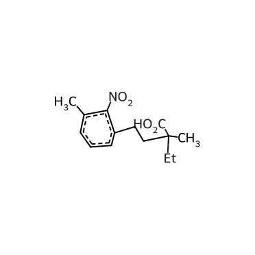 CCC(C)(CCc1cccc(C)c1[N+](=O)[O-])C(=O)O